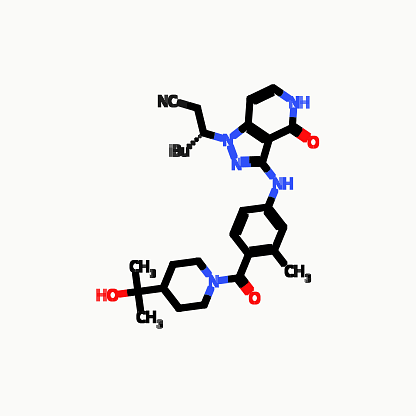 CCC(C)[C@H](CC#N)n1nc(Nc2ccc(C(=O)N3CCC(C(C)(C)O)CC3)c(C)c2)c2c(=O)[nH]ccc21